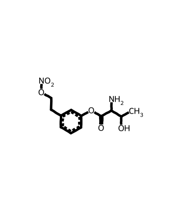 CC(O)C(N)C(=O)Oc1cccc(CCO[N+](=O)[O-])c1